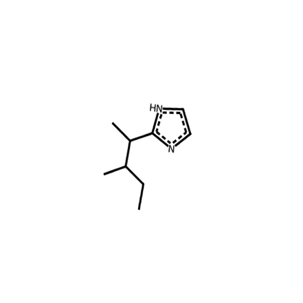 CCC(C)C(C)c1ncc[nH]1